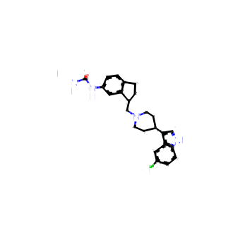 CNC(=O)Nc1ccc2c(c1)C(CN1CCC(c3c[nH]c4ccc(Cl)cc34)CC1)CC2